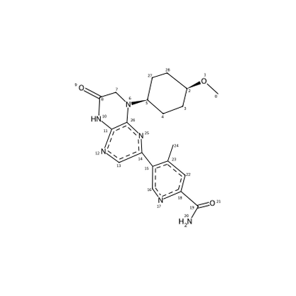 CO[C@H]1CC[C@@H](N2CC(=O)Nc3ncc(-c4cnc(C(N)=O)cc4C)nc32)CC1